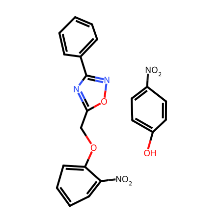 O=[N+]([O-])c1ccc(O)cc1.O=[N+]([O-])c1ccccc1OCc1nc(-c2ccccc2)no1